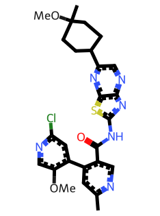 COc1cnc(Cl)cc1-c1cc(C)ncc1C(=O)Nc1nc2ncc(C3CCC(C)(OC)CC3)nc2s1